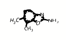 Cc1ccc2nc(N)oc2c1C